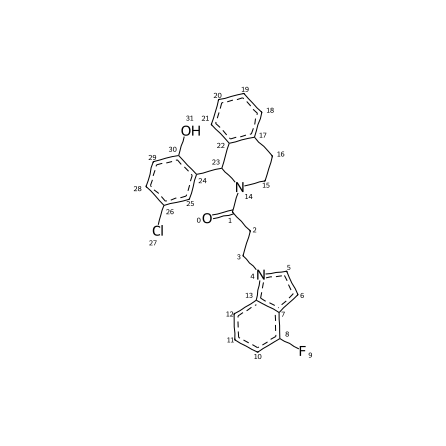 O=C(CCn1ccc2c(F)cccc21)N1CCc2ccccc2C1c1cc(Cl)ccc1O